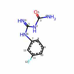 N=C(NC(N)=O)Nc1cccc(F)c1